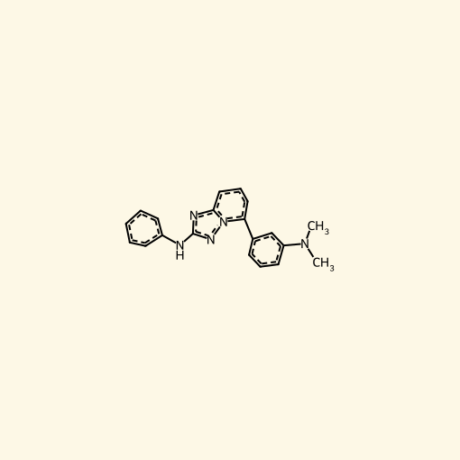 CN(C)c1cccc(-c2cccc3nc(Nc4ccccc4)nn23)c1